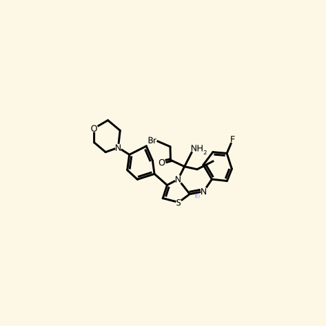 CCC(N)(C(=O)CBr)n1c(-c2ccc(N3CCOCC3)cc2)cs/c1=N/c1ccc(F)cc1